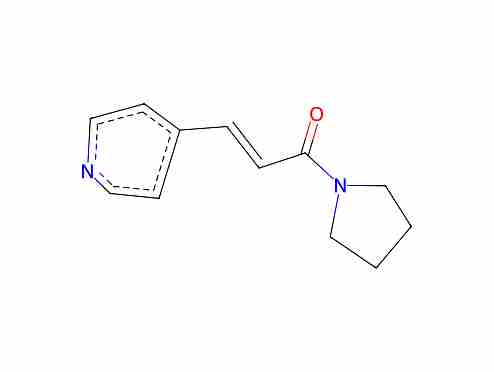 O=C(C=Cc1ccncc1)N1CCCC1